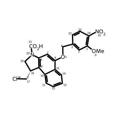 COc1cc(COc2cc3c(c4ccccc24)[C@H](CCl)CN3C(=O)O)ccc1[N+](=O)[O-]